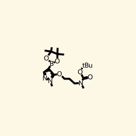 CN(CCCOc1c(B2OC(C)(C)C(C)(C)O2)cnn1C)C(=O)OC(C)(C)C